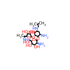 CC(C)CN[C@@H]1CC(N)[C@@H](O[C@H]2OC(CO)[C@@H](O)C(O)C2N)C(O[C@@H]2O[C@H]([C@H](C)N)C(O)C2O)C1O